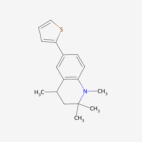 CC1CC(C)(C)N(C)c2ccc(-c3cccs3)cc21